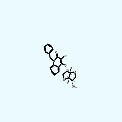 CC(=O)O[C@H]1CO[C@H]2[C@@H]1OC[C@@H]2Oc1c(C#N)c(=O)n(Cc2ccccc2)c2ccccc12